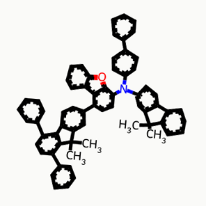 CC1(C)c2ccccc2-c2ccc(N(c3ccc(-c4ccccc4)cc3)c3ccc(-c4ccc5c(c4)C(C)(C)c4c(-c6ccccc6)ccc(-c6ccccc6)c4-5)c4c3oc3ccccc34)cc21